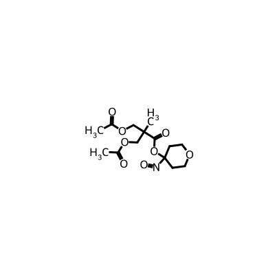 CC(=O)OCC(C)(COC(C)=O)C(=O)OC1(N=O)CCOCC1